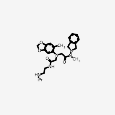 Cc1cc2c(cc1N(CC(=O)NCCNC(C)C)CC(=O)N(C)N1Cc3ccccc3C1)OCO2